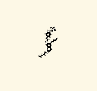 CCCCOc1cc(/C=C\C(=O)OCCOCC)ccc1OCCc1ccc(NCS(C)(=O)=O)cc1